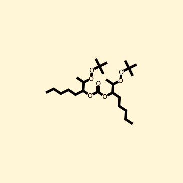 CCCCCC(OC(=O)OC(CCCCC)C(C)OOC(C)(C)C)C(C)OOC(C)(C)C